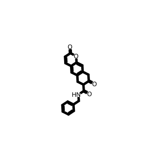 O=C1Cc2cc3oc(=O)ccc3cc2CC1C(=O)NCc1ccccc1